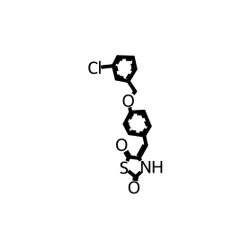 O=C1NC(=Cc2ccc(OCc3cccc(Cl)c3)cc2)C(=O)S1